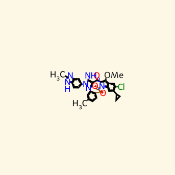 COc1c(C(=O)c2cnn(-c3ccc4[nH]c(C)nc4c3)c2N)n(S(=O)(=O)c2ccc(C)cc2)c2cc(C3CC3)c(Cl)cc12